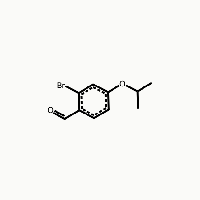 CC(C)Oc1ccc(C=O)c(Br)c1